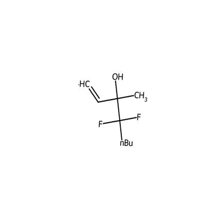 [CH]=CC(C)(O)C(F)(F)CCCC